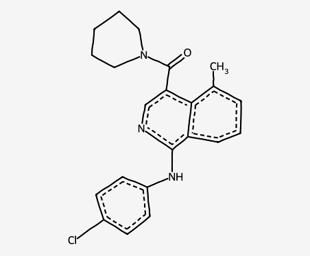 Cc1cccc2c(Nc3ccc(Cl)cc3)ncc(C(=O)N3CCCCC3)c12